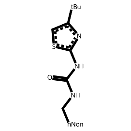 CCCCCCCCCCNC(=O)Nc1nc(C(C)(C)C)cs1